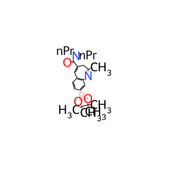 CCCN(CCC)C(=O)C1=Cc2ccc(B3OC(C)(C)C(C)(C)O3)cc2N=C(C)C1